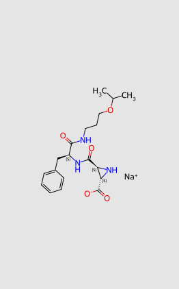 CC(C)OCCCNC(=O)[C@H](Cc1ccccc1)NC(=O)[C@H]1N[C@@H]1C(=O)[O-].[Na+]